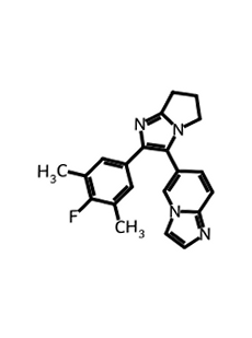 Cc1cc(-c2nc3n(c2-c2ccc4nccn4c2)CCC3)cc(C)c1F